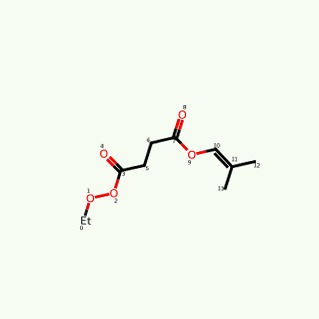 CCOOC(=O)CCC(=O)OC=C(C)C